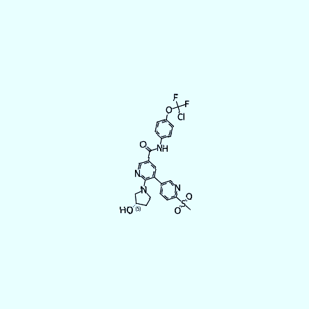 CS(=O)(=O)c1ccc(-c2cc(C(=O)Nc3ccc(OC(F)(F)Cl)cc3)cnc2N2CC[C@H](O)C2)cn1